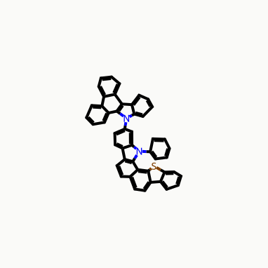 c1ccc(-n2c3cc(-n4c5ccccc5c5c6ccccc6c6ccccc6c54)ccc3c3ccc4ccc5c6ccccc6sc5c4c32)cc1